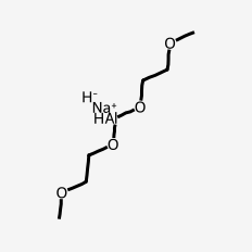 COCC[O][AlH][O]CCOC.[H-].[Na+]